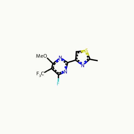 COc1nc(-c2csc(C)n2)nc(F)c1C(F)(F)F